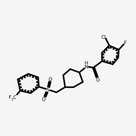 O=C(NC1CCC(CS(=O)(=O)c2cccc(C(F)(F)F)c2)CC1)c1ccc(F)c(Cl)c1